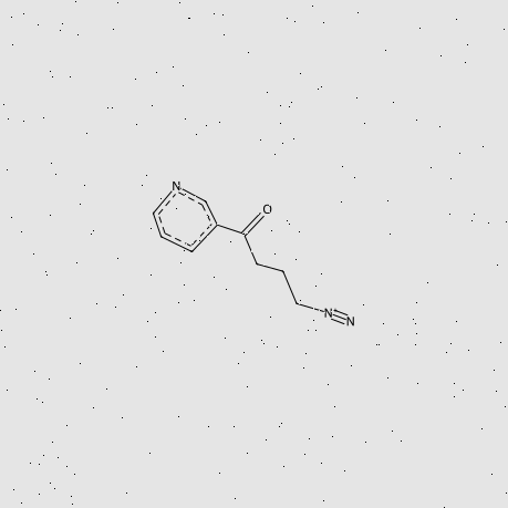 N#[N+]CCCC(=O)c1cccnc1